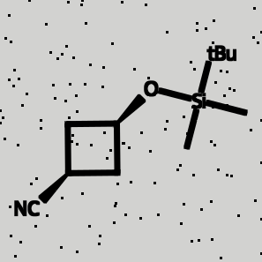 CC(C)(C)[Si](C)(C)O[C@H]1C[C@@H](C#N)C1